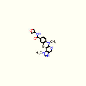 CCc1cc(C(=O)NC2COC2)ccc1N(C)c1cc2c(cn1)ncn2C